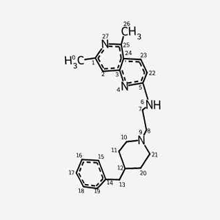 Cc1cc2nc(NCCN3CCC(Cc4ccccc4)CC3)ccc2c(C)n1